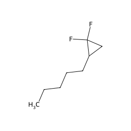 CCCCCC1CC1(F)F